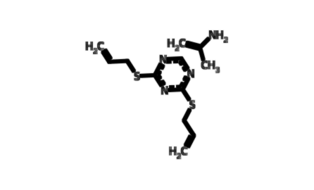 C=C(C)N.C=CCSc1ncnc(SCC=C)n1